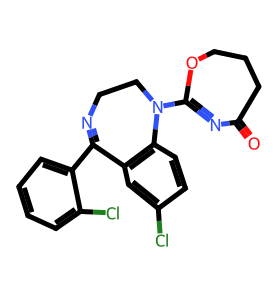 O=C1CCCOC(N2CCN=C(c3ccccc3Cl)c3cc(Cl)ccc32)=N1